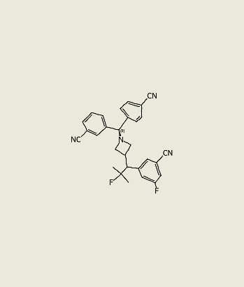 CC(C)(F)C(c1cc(F)cc(C#N)c1)C1CN([C@H](c2ccc(C#N)cc2)c2cccc(C#N)c2)C1